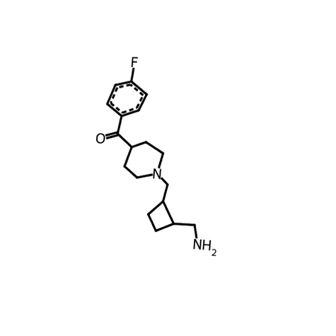 NCC1CCC1CN1CCC(C(=O)c2ccc(F)cc2)CC1